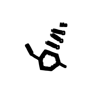 C=Cc1ccc(C)cc1.[C]=O.[C]=O.[C]=O.[Mo]